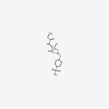 C=CC(=O)N[C@H]1[C@@H]2CN(Cc3ccc(S(=O)(=O)C(F)(F)F)cc3)C[C@@H]21